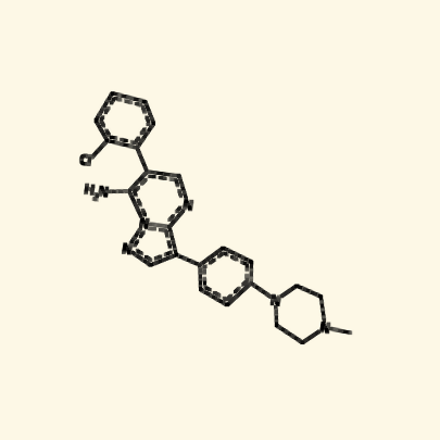 CN1CCN(c2ccc(-c3cnn4c(N)c(-c5ccccc5Cl)cnc34)cc2)CC1